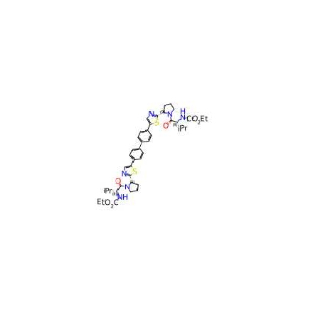 CCOC(=O)N[C@@H](C(=O)N1CCC[C@H]1c1ncc(-c2ccc(-c3ccc(-c4cnc([C@@H]5CCCN5C(=O)[C@H](NC(=O)OCC)C(C)C)s4)cc3)cc2)s1)C(C)C